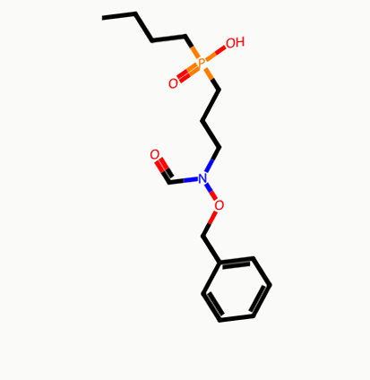 CCCCP(=O)(O)CCCN(C=O)OCc1ccccc1